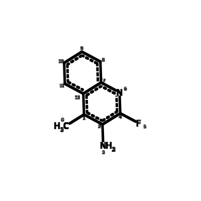 Cc1c(N)c(F)nc2ccccc12